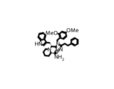 COc1ccc(Cn2c(CCc3ccccc3)nnc2[C@@H](Cc2c[nH]c3ccccc23)N2CCCC[C@@H]2C(N)=O)c(OC)c1